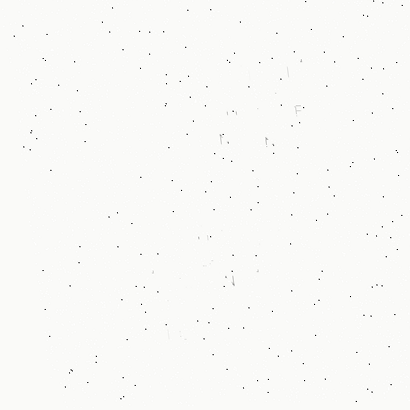 C#CCN(Cc1ccc(-c2noc(C(F)(F)F)n2)cc1)C(=O)C1CC1